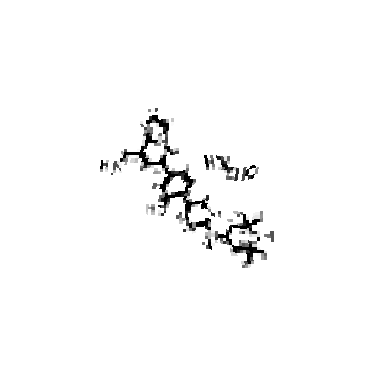 CN(c1ncc(-c2ccc(-c3cc(CN)c4nccn4n3)cc2O)nn1)C1CC(C)(C)NC(C)(C)C1.O=CO